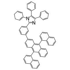 C1=CC(n2c(-c3cccc(-c4ccc5c(-c6cccc7ccccc67)c6ccccc6c(-c6cccc7ccccc67)c5c4)c3)nc(-c3ccccc3)c2-c2ccccc2)=CCC1